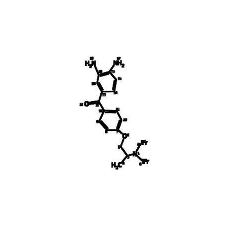 CC(C)N(C(C)C)C(C)COc1ccc(C(=O)c2ccc(N)c(N)c2)cc1